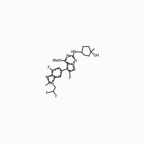 COc1nc(NC2CCC(C)(O)CC2)nn2cc(F)c(-c3cc(F)c4nc(C)n(CC(F)F)c4c3)c12